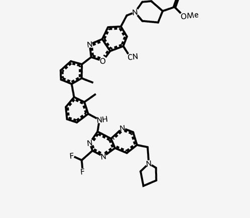 COC(=O)C1CCN(Cc2cc(C#N)c3oc(-c4cccc(-c5cccc(Nc6nc(C(F)F)nc7cc(CN8CCCC8)cnc67)c5C)c4C)nc3c2)CC1